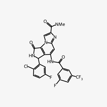 CNC(=O)c1cn2c3c(c(NC(=O)c4cc(F)cc(C(F)(F)F)c4)cc2n1)C(c1cc(F)ccc1Cl)NC3=O